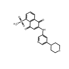 CS(=O)(=O)c1cccc2c1C(=O)C=C(Nc1cncc(N3CCSCC3)c1)C2=O